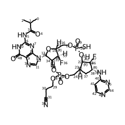 CC(C)C(=O)Nc1nc2c(ncn2[C@@H]2O[C@@H]3COP(=O)(S)O[C@@H]4[C@@H](COP(=O)(OCCC#N)O[C@@H]2[C@@H]3F)C[C@@H](Nc2ccncn2)[C@@H]4F)c(=O)[nH]1